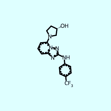 O[C@H]1CCN(c2cccc3nc(Nc4ccc(C(F)(F)F)cc4)nn23)C1